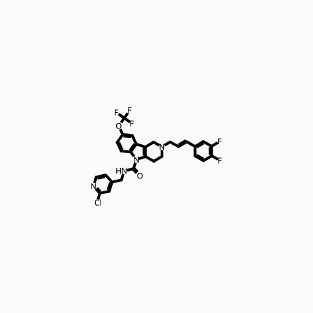 O=C(NCc1ccnc(Cl)c1)n1c2c(c3cc(OC(F)(F)F)ccc31)CN(CC=Cc1ccc(F)c(F)c1)CC2